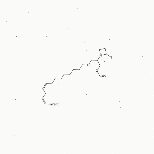 CCCCC/C=C\C/C=C\CCCCCCCCOCC(COCCCCCCCC)N1CCC1I